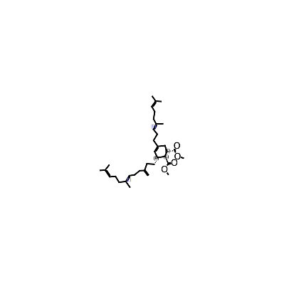 C=C(CC/C=C(\C)CCC=C(C)C)CC[C@@H]1C=C(CC/C=C(\C)CCC=C(C)C)C[C@H](C(=O)OC)[C@H]1C(=O)OC